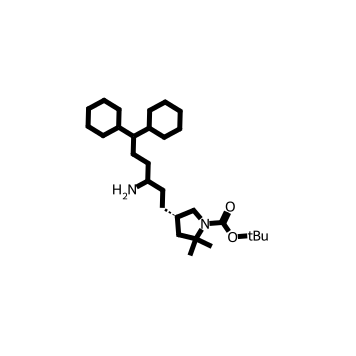 CC(C)(C)OC(=O)N1C[C@@H](CCC(N)CCC(C2CCCCC2)C2CCCCC2)CC1(C)C